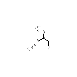 ClCC(Cl)Cl.[Cl-].[Cl-].[Cl-].[Cl-].[Sn+4]